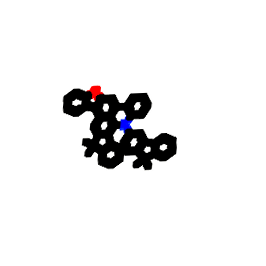 CC1(C)c2ccccc2-c2cc(N(c3ccccc3-c3ccc4c(c3)oc3ccccc34)c3cccc4c3-c3ccccc3C4(C)C)ccc21